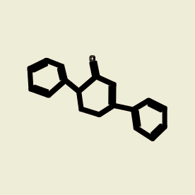 O=C1C=C(c2ccccc2)CCC1c1ccccc1